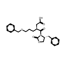 O=C(O)C[C@H](CCCOCc1ccccc1)C(=O)N1C(=O)OC[C@H]1Cc1ccccc1